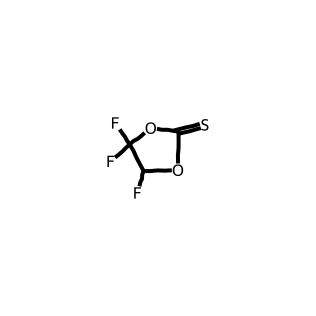 FC1OC(=S)OC1(F)F